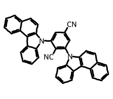 N#Cc1cc(-n2c3ccccc3c3c4ccccc4ccc32)c(C#N)c(-n2c3ccccc3c3c4ccccc4ccc32)c1